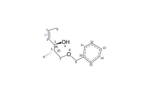 C/C=C\[C@@H](O)[C@@H](C)COCc1ccccc1